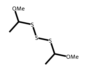 COC(C)SSSC(C)OC